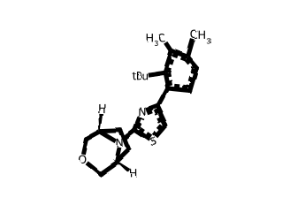 Cc1ccc(-c2csc(N3[C@@H]4CC[C@H]3COC4)n2)c(C(C)(C)C)c1C